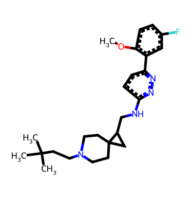 COc1ccc(F)cc1-c1ccc(NCC2CC23CCN(CCC(C)(C)C)CC3)nn1